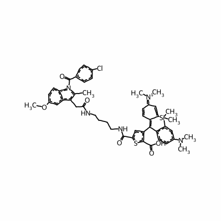 COc1ccc2c(c1)c(CC(=O)NCCCCNC(=O)c1cc(C3=C4C=CC(=[N+](C)C)C=C4[Si](C)(C)c4cc(N(C)C)ccc43)c(C(=O)O)s1)c(C)n2C(=O)c1ccc(Cl)cc1